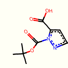 CC(C)(C)OC(=O)n1nccc1C(=O)O